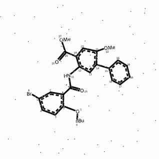 CCCCOc1ccc(Br)cc1C(=O)Nc1cc(-c2ccccc2)c(OC)cc1C(=O)OC